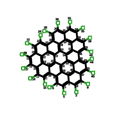 Clc1c(Cl)c2c(Cl)c(Cl)c3c4c(Cl)c(Cl)c5c(Cl)c(Cl)c6c(Cl)c(Cl)c7c8c(Cl)c(Cl)c9c(Cl)c(Cl)c%10c(Cl)c(Cl)c%11c%12c(Cl)c(Cl)c1c1c2c3c2c(c%121)c1c%11c%10c9c8c1c1c7c6c5c4c21